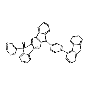 O=P1(c2ccccc2)c2ccccc2-c2cc3c(cc21)c1ccccc1n3-c1ccc(-c2cccc3sc4ccccc4c23)cc1